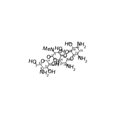 CNC1C(O[C@H]2OC(CO)[C@@H](N)[C@H](O)C2O)O[C@H]2CC(N)[C@@H](O[C@@H]3C(N)C[C@@H](N)C(O)[C@H]3O)OC2C1O